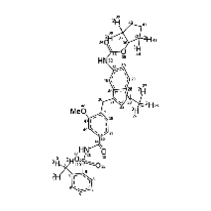 [2H]C([2H])([2H])c1ccccc1S(=O)(=O)NC(=O)c1ccc(Cc2cn(C([2H])([2H])[2H])c3ccc(NC(=O)OC4C([2H])([2H])CCC4([2H])[2H])cc23)c(OC)c1